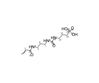 C=CC(=O)NCCCNC(=O)NCCCP(=O)(O)O